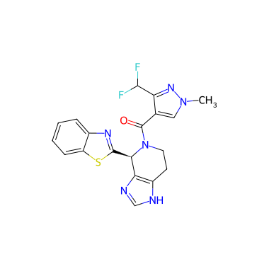 Cn1cc(C(=O)N2CCc3[nH]cnc3[C@H]2c2nc3ccccc3s2)c(C(F)F)n1